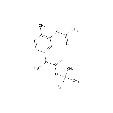 CC(=O)Sc1cc(P(C)C(=O)OC(C)(C)C)ccc1C